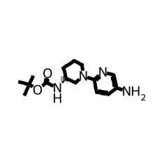 CC(C)(C)OC(=O)N[C@@H]1CCCN(c2ccc(N)cn2)C1